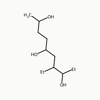 CCC(O)C(CC)CC(O)CCC(C)O